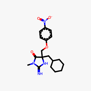 CN1C(=N)NC(COc2ccc([N+](=O)[O-])cc2)(CC2CCCCC2)C1=O